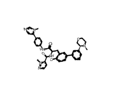 CN1CCOC[C@@H]1c1cccc(-c2ccc(Cl)c(CC(NC(=O)c3ccnn3C)C(=O)Nc3ccc(-c4cncn4C)cc3)c2)c1